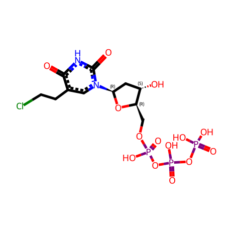 O=c1[nH]c(=O)n([C@H]2C[C@H](O)[C@@H](COP(=O)(O)OP(=O)(O)OP(=O)(O)O)O2)cc1CCCl